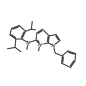 CC(C)c1cccc(C(C)C)c1N(C)c1ccc2ccn(Cc3ccccc3)c2[n+]1C